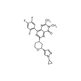 Cc1nc2c(-c3cc(F)c(F)cc3F)nc([C@@H]3CCO[C@H](c4cnn(C5CC5)c4)C3)nc2c(=O)n1C